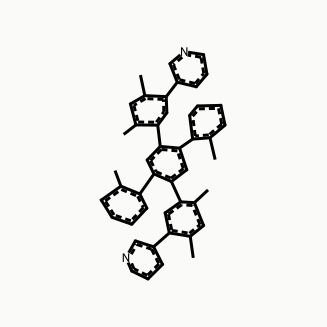 Cc1cc(C)c(-c2cc(-c3ccccc3C)c(-c3cc(-c4cccnc4)c(C)cc3C)cc2-c2ccccc2C)cc1-c1cccnc1